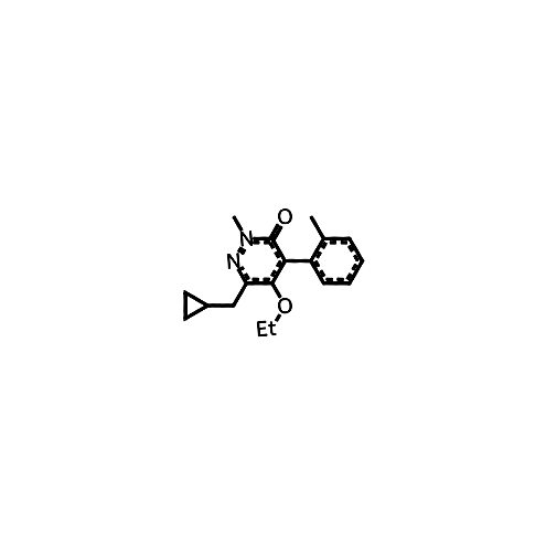 CCOc1c(CC2CC2)nn(C)c(=O)c1-c1ccccc1C